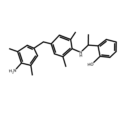 Cc1cc(Cc2cc(C)c(NC(C)c3ccccc3O)c(C)c2)cc(C)c1N